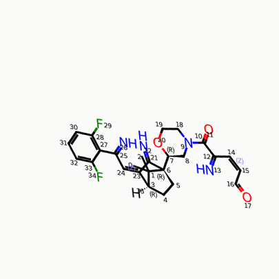 CC1(C)[C@H]2CC[C@]1([C@@H]1CN(C(=O)C(=N)/C=C\C=O)CCO1)C(=N)/C2=C\C(=N)c1c(F)cccc1F